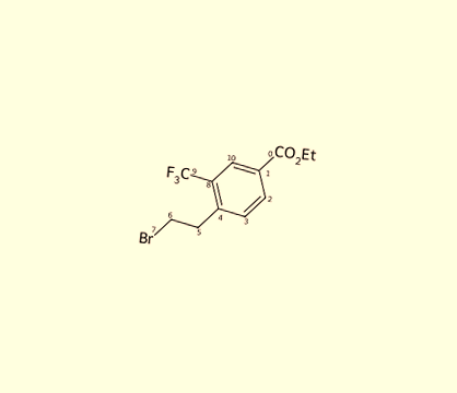 CCOC(=O)c1ccc(CCBr)c(C(F)(F)F)c1